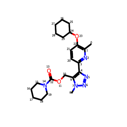 Cc1nc(-c2nnn(C)c2COC(=O)N2CCCCC2)ccc1OC1CCCCC1